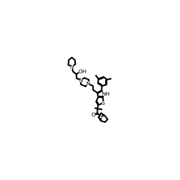 Cc1cc(C)cc(-c2[nH]c3sc(C(C)(C)C(=O)N4C5CCC4CC5)cc3c2CCN2CCN(CC(O)CN3CCCCC3)CC2)c1